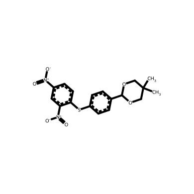 CC1(C)COC(c2ccc(Sc3ccc([N+](=O)[O-])cc3[N+](=O)[O-])cc2)OC1